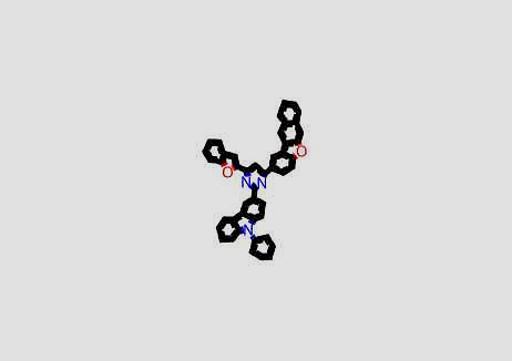 c1ccc(-n2c3ccccc3c3cc(-c4nc(-c5ccc6oc7cc8ccccc8cc7c6c5)cc(-c5cc6ccccc6o5)n4)ccc32)cc1